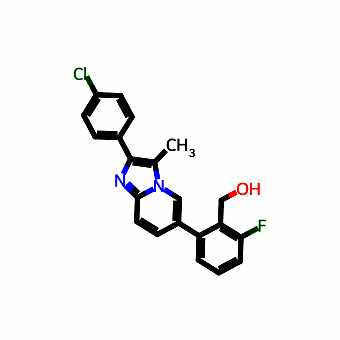 Cc1c(-c2ccc(Cl)cc2)nc2ccc(-c3cccc(F)c3CO)cn12